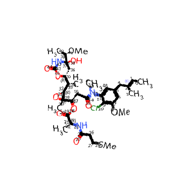 C/C=C(\C)Cc1cc(OC)c(Cl)c(N(C)C(=O)C[C@@H](OC(=O)[C@@H](C)NC(=O)CCSC)[C@]2(C)O[C@@H]2[C@@H](C)[C@H]2C[C@@](O)([C@H](C)OC)NC(=O)O2)c1